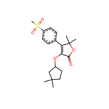 CC1(C)CCC(OC2=C(c3ccc(S(C)(=O)=O)cc3)C(C)(C)OC2=O)C1